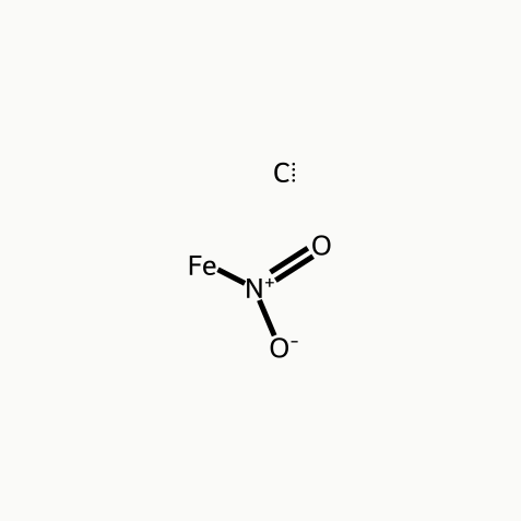 O=[N+]([O-])[Fe].[C]